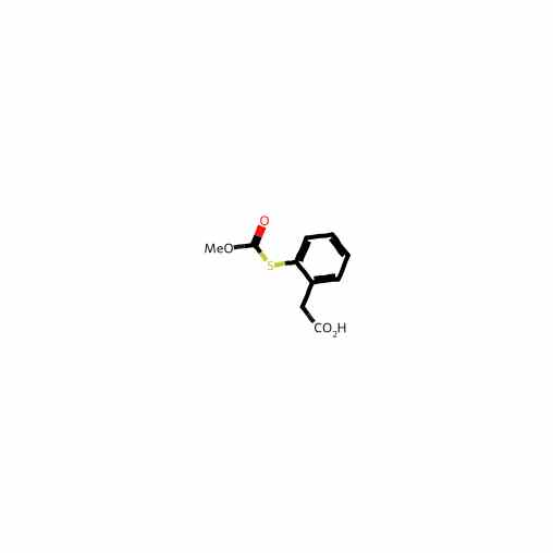 COC(=O)Sc1ccccc1CC(=O)O